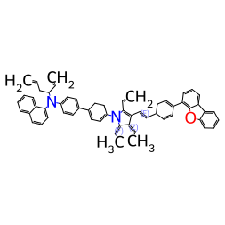 C=CCC(C=C)N(c1ccc(C2=CC=C(n3c(C=C)c(/C=C/C4C=CC(c5cccc6c5oc5ccccc56)=CC4)c(=C/C)/c3=C\C)CC2)cc1)c1cccc2ccccc12